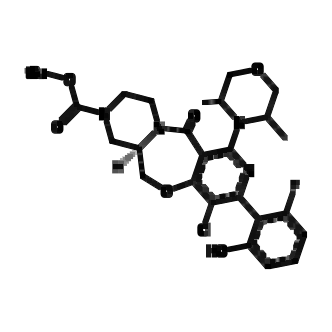 CC1COCC(C)N1c1nc(-c2c(O)cccc2F)c(Cl)c2c1C(=O)N1CCN(C(=O)OC(C)(C)C)C[C@@H]1CO2